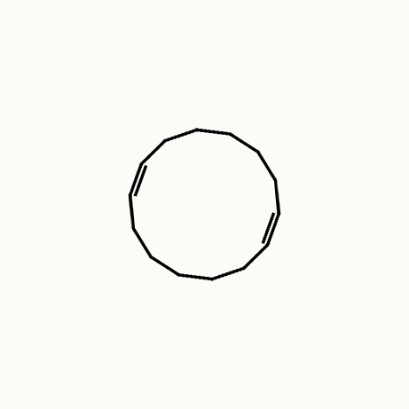 C1=CCCCCCC=CCCCCC1